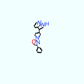 C1=C(c2c[nH]c3ncccc23)CCN(C2=N[C@@H](c3ccccc3)CO2)C1